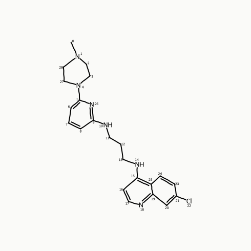 CN1CCN(c2cccc(NCCCNc3ccnc4cc(Cl)ccc34)n2)CC1